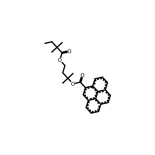 CCC(C)(C)C(=O)OCCC(C)(C)OC(=O)c1cc2cccc3ccc4cccc1c4c32